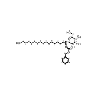 CCCCCCCCCCCCCCCCN[C@@H]1O[C@H](CO)[C@H](O)[C@H](O)[C@@H]1NC(=O)OCc1ccccc1